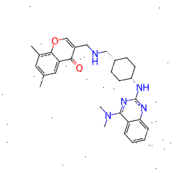 Cc1cc(C)c2occ(CNC[C@H]3CC[C@@H](Nc4nc(N(C)C)c5ccccc5n4)CC3)c(=O)c2c1